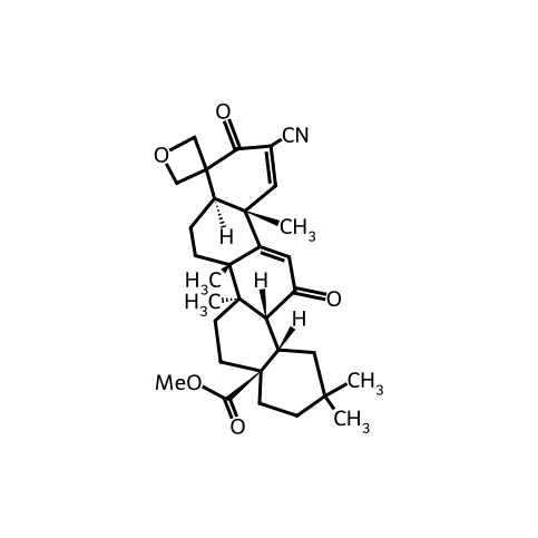 COC(=O)[C@]12CCC(C)(C)C[C@H]1[C@H]1C(=O)C=C3[C@@]4(C)C=C(C#N)C(=O)C5(COC5)[C@@H]4CC[C@@]3(C)[C@]1(C)CC2